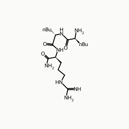 CCCC[C@H](NC(=O)[C@@H](N)CCCC)C(=O)N[C@@H](CCCNC(=N)N)C(N)=O